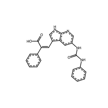 O=C(Nc1ccccc1)Nc1cnc2[nH]cc(C=C(C(=O)O)c3ccccc3)c2c1